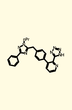 CCCn1nc(-c2ccccc2)nc1Cc1ccc(-c2cccnc2-c2nnn[nH]2)cc1